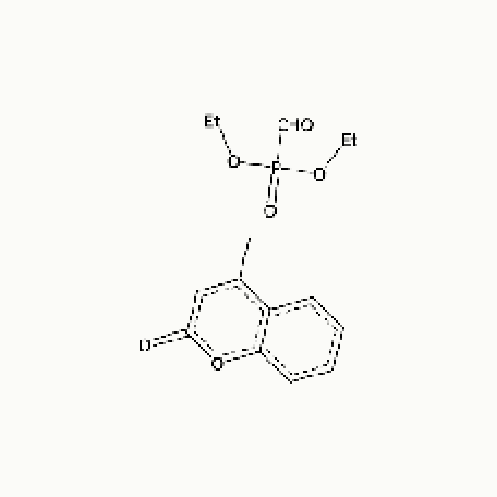 CCOP(=O)(C=O)OCC.Cc1cc(=O)oc2ccccc12